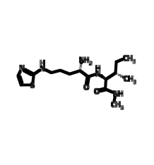 CC[C@H](C)[C@H](NC(=O)[C@@H](N)CCCNc1nccs1)C(=O)NC